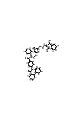 O=C(Nc1ccc(C(=O)N2CCc3nc(CCCN4C(=O)c5ccccc5C4=O)[nH]c3-c3ccccc32)cc1)c1ccccc1-c1ccccc1